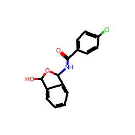 O=C(NC1OC(O)c2ccccc21)c1ccc(Cl)cc1